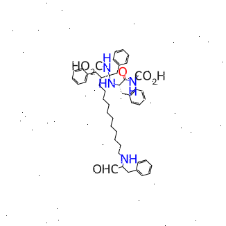 O=CC(Cc1ccccc1)NCCCCCCCCCCC[C@@H](Cc1ccccc1)C(Cc1ccccc1)(NC(=O)O)N[C@@H](Cc1ccccc1)C(=O)NC(=O)O